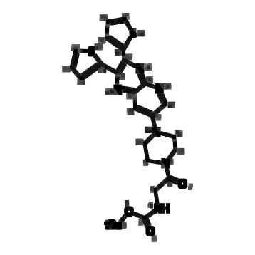 CC(C)(C)OC(=O)NCC(=O)N1CCN(c2cnc3nc(-c4cccs4)c(-c4cccs4)nc3c2)CC1